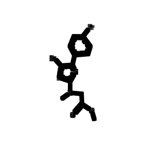 COC(=O)CN(C)c1nc(-c2ccc(Br)cc2)c(Br)s1